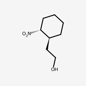 O=[N+]([O-])[C@@H]1CCCC[C@H]1CCO